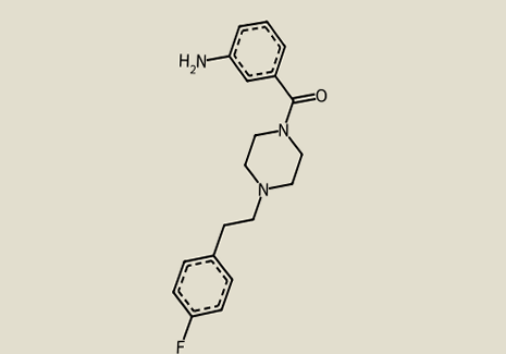 Nc1cccc(C(=O)N2CCN(CCc3ccc(F)cc3)CC2)c1